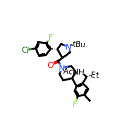 CC[C@@H](NC(C)=O)c1cc(C)c(F)cc1C1CCN(C(=O)C2CN(C(C)(C)C)C[C@H]2c2ccc(Cl)cc2F)CC1